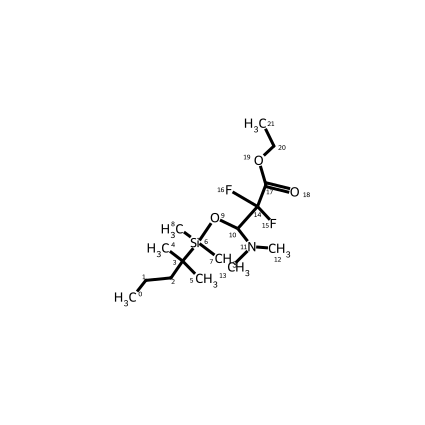 CCCC(C)(C)[Si](C)(C)OC(N(C)C)C(F)(F)C(=O)OCC